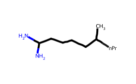 CCCC(C)CCCCC(N)N